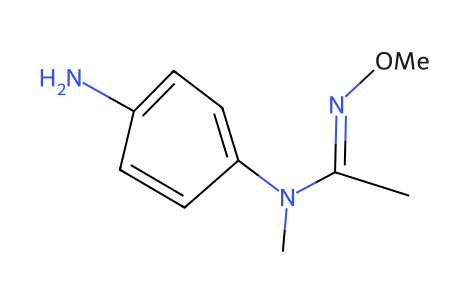 CON=C(C)N(C)c1ccc(N)cc1